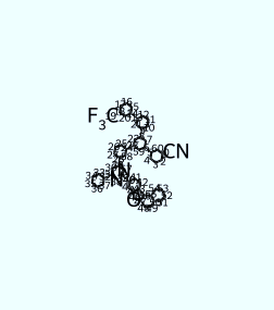 N#Cc1cccc(-c2cc(-c3cccc(-c4cccc(C(F)(F)F)c4)c3)cc(-c3cccc(-c4cc(-c5ccccc5)nc(-c5ccc6c(c5)oc5ccc7ccccc7c56)n4)c3)c2)c1